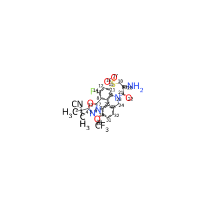 CC(C)(C#N)c1nnc(-c2cc3c(cc2F)S(=O)(=O)C[C@H](N)C(=O)N3Cc2ccc(OC(F)(F)F)cc2)o1